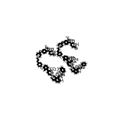 Cc1c(OC2CCC(CCCN3CCC(Oc4ccc5c(C6CCC(=O)NC6=O)nn(C)c5c4)CC3)CC2)cccc1-c1ccc(N2CCc3cccc(C(=O)Nc4nc5ccccc5s4)c3C2)nc1C(=O)O.Cc1c(OC2CCC(CCCN3CCC(Oc4ccc5c(C6CCC(=O)NC6=O)nn(C)c5c4)CC3)CC2)cccc1-c1ccc(N2CCc3cccc(C(=O)Nc4nc5ccccc5s4)c3C2)nc1C(=O)OC(C)(C)C